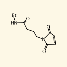 CCNC(=O)CCCN1C(=O)C=CC1=O